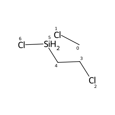 CCl.ClCC[SiH2]Cl